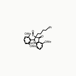 COc1cccc(OC)c1C(=O)C(CCCCC(C)C)(P=O)C(=O)c1c(OC)cccc1OC